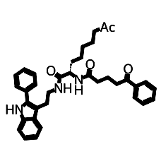 CC(=O)CCCCC[C@H](NC(=O)CCCC(=O)c1ccccc1)C(=O)NCCc1c(-c2ccccc2)[nH]c2ccccc12